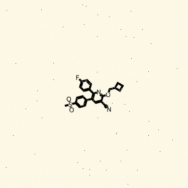 CS(=O)(=O)c1ccc(-c2cc(C#N)c(OCC3CCC3)nc2-c2ccc(F)cc2)cc1